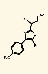 CC(=O)OCC(Br)c1nc(-c2ccc(C(F)(F)F)cc2)c(Br)o1